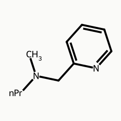 CCCN(C)Cc1ccccn1